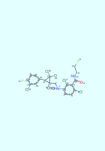 O=CC1(CNc2ccc(Cl)c(C(=O)NCCF)c2Cl)C(c2ccc(F)c(Cl)c2)C1(Cl)Cl